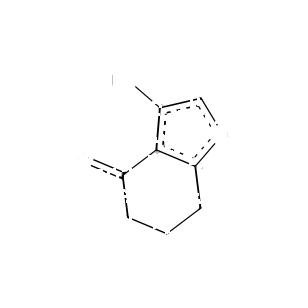 Cc1coc2c1C(=O)CCC2